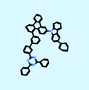 c1ccc(-c2ccc3c(c2)c2ccccc2n3-c2ccc3c(c2)c2ccccc2c2cccc(-c4cccc(-c5cccc(-c6nc(-c7ccccc7)nc(-c7ccccc7)n6)c5)c4)c23)cc1